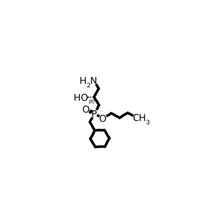 CCCCOP(=O)(CC1CCCCC1)C[C@H](O)CN